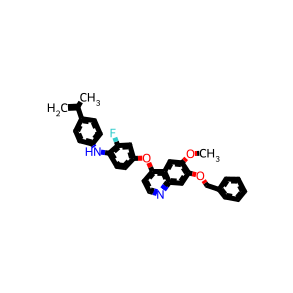 C=C(C)c1ccc(Nc2ccc(Oc3ccnc4cc(OCc5ccccc5)c(OC)cc34)cc2F)cc1